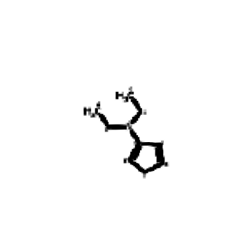 CCN(CC)C1=[C]CC=C1